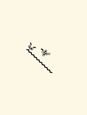 CCCCCCCCCCCCCCCCCCC(C)N(OCC)OCC.CCOS(=O)(=O)O